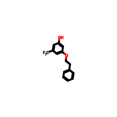 Oc1cc(OCCc2ccccc2)cc(C(F)(F)F)c1